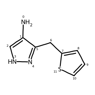 Nc1c[nH]nc1Cc1cccs1